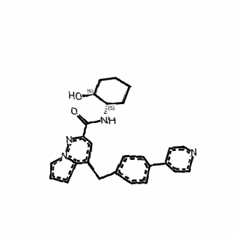 O=C(N[C@H]1CCCC[C@@H]1O)c1cc(Cc2ccc(-c3ccncc3)cc2)c2cccn2n1